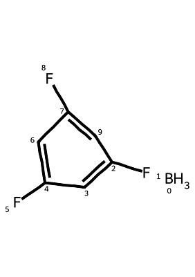 B.Fc1cc(F)cc(F)c1